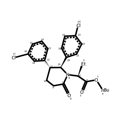 CCCCOC(=O)[C@H](CC)N1C(=O)CC[C@H](c2cccc(Cl)c2)[C@H]1c1ccc(Cl)cc1